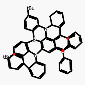 CC1CC=CC=C1C1=CC=CCC1N1c2cc(C(C)(C)C)ccc2B2c3ccc(C(C)(C)C)cc3N(c3ccccc3-c3ccccc3)c3cc(N(c4ccccc4)c4ccccc4)cc1c32